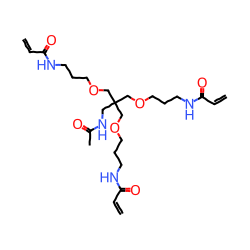 C=CC(=O)NCCCOCC(CNC(C)=O)(COCCCNC(=O)C=C)COCCCNC(=O)C=C